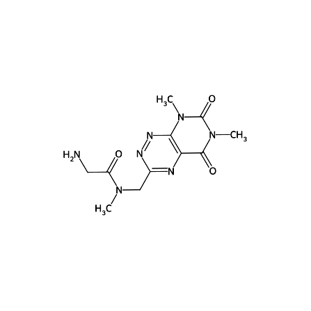 CN(Cc1nnc2c(n1)c(=O)n(C)c(=O)n2C)C(=O)CN